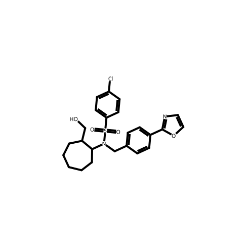 O=S(=O)(c1ccc(Cl)cc1)N(Cc1ccc(-c2ncco2)cc1)C1CCCCCC1CO